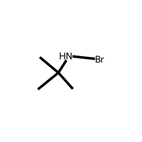 CC(C)(C)NBr